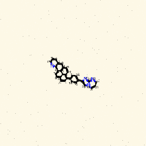 C1=CC2=CC3=C4C(=CC=C5C=CC(c6ccc(-c7cn8cccnc8n7)cc6)=C(C=C3)C54)C2N=C1